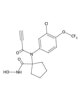 C#CC(=O)N(c1ccc(OC(F)(F)F)c(Cl)c1)C1(C(=O)NO)CCCC1